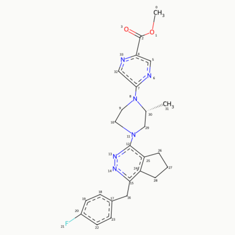 COC(=O)c1cnc(N2CCN(c3nnc(Cc4ccc(F)cc4)c4c3CCC4)C[C@H]2C)cn1